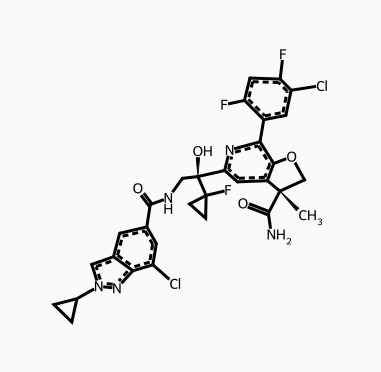 C[C@]1(C(N)=O)COc2c1cc([C@@](O)(CNC(=O)c1cc(Cl)c3nn(C4CC4)cc3c1)C1(F)CC1)nc2-c1cc(Cl)c(F)cc1F